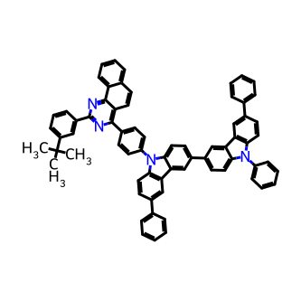 CC(C)(C)c1cccc(-c2nc(-c3ccc(-n4c5ccc(-c6ccccc6)cc5c5cc(-c6ccc7c(c6)c6cc(-c8ccccc8)ccc6n7-c6ccccc6)ccc54)cc3)c3ccc4ccccc4c3n2)c1